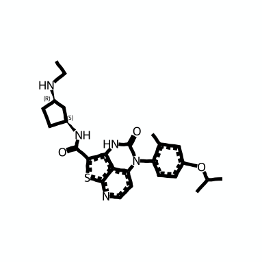 CCN[C@@H]1CC[C@H](NC(=O)c2sc3nccc4c3c2NC(=O)N4c2ccc(OC(C)C)cc2C)C1